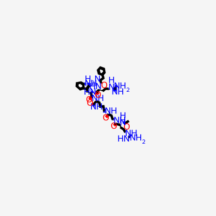 CC(=O)N[C@@H](CCCNC(=N)N)C(=O)NCCC(=O)NCCCCC(NC(=O)[C@H](Cc1c[nH]c2ccccc12)NC(=O)[C@H](CCCNC(=N)N)NC(=O)[C@H](N)Cc1ccccc1)C(N)=O